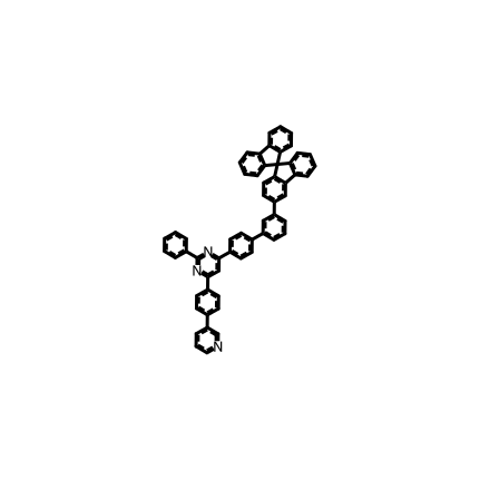 c1ccc(-c2nc(-c3ccc(-c4cccnc4)cc3)cc(-c3ccc(-c4cccc(-c5ccc6c(c5)-c5ccccc5C65c6ccccc6-c6ccccc65)c4)cc3)n2)cc1